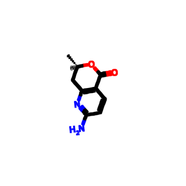 C[C@H]1Cc2nc(N)ccc2C(=O)O1